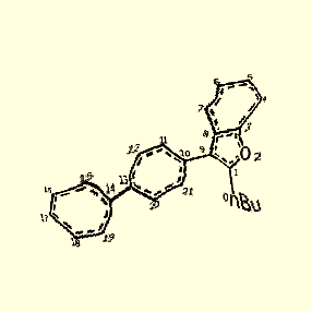 CCCCc1oc2ccccc2c1-c1ccc(-c2ccccc2)cc1